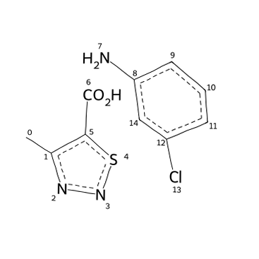 Cc1nnsc1C(=O)O.Nc1cccc(Cl)c1